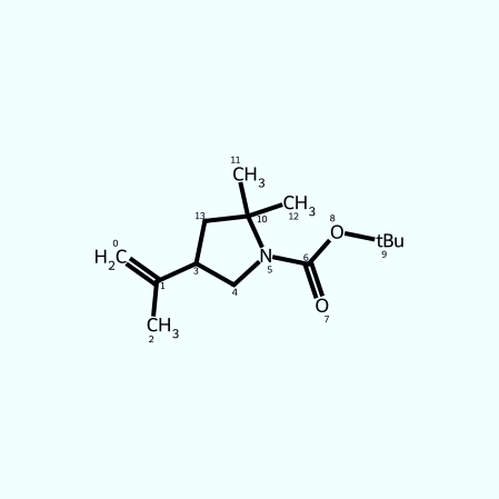 C=C(C)C1CN(C(=O)OC(C)(C)C)C(C)(C)C1